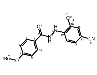 CC(C)(C)Oc1ccc(C(=O)NNc2ccc(C#N)cc2C(F)(F)F)cc1